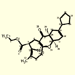 CCOC(=O)[C@H]1CC2=C(CC/C(C)=C/1N)O[C@@H]1CC=C(C3CCCC3)C[C@@H]1C2=O